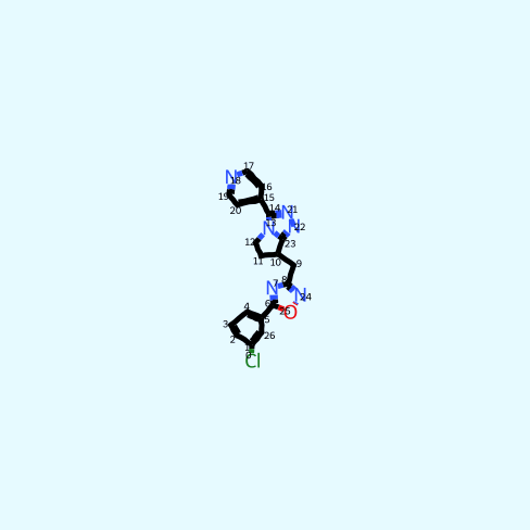 Clc1cccc(-c2nc(CC3CCn4c(-c5ccncc5)nnc43)no2)c1